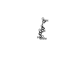 CONC(=O)c1ccc(C)c(-n2cnc3ccc(OCCN4CCNC(=O)C4)cc3c2=O)c1